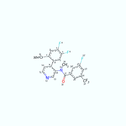 COc1cc(F)c(F)cc1-c1ccncc1N(C)C(=O)c1cc(F)cc(C(F)(F)F)c1